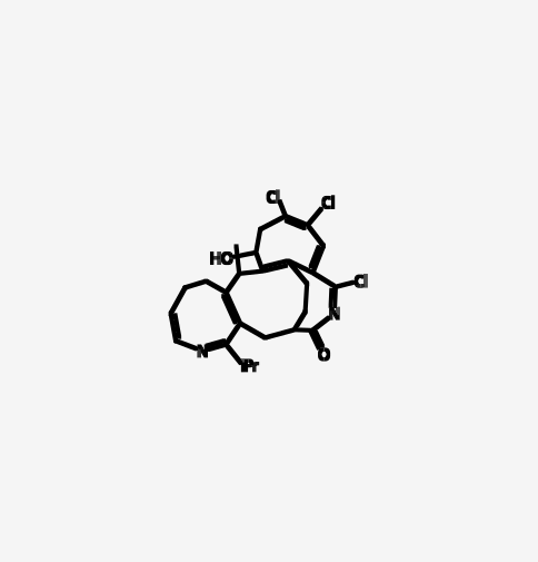 CC(C)C1=N/C=C\CC/C2=C\1CC1CCC3=C(\C(O)C\C(Cl)=C(Cl)/C=C\3C(/Cl)=N\C1=O)C2C